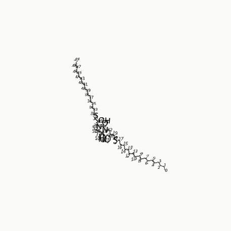 CCCCCCCCCCCCCCCCCCSCC(O)CN1C(=O)N(CC(O)CSCCCCCCCCCCCCCCCCCC)C(C)(CC)C1=O